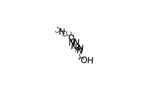 C=C(CO)CCn1ncc(N(C)c2ncc3cc(C)c(C4CCN(C(CC)CC)CC4)cc3n2)c1C